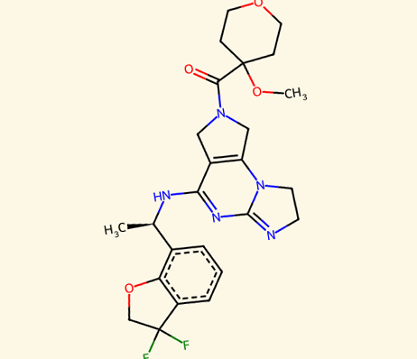 COC1(C(=O)N2CC3=C(C2)N2CCN=C2N=C3N[C@H](C)c2cccc3c2OCC3(F)F)CCOCC1